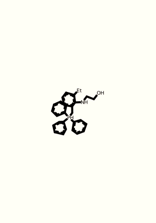 CCc1cccc(C[PH](c2ccccc2)(c2ccccc2)c2ccccc2)c1NCCO